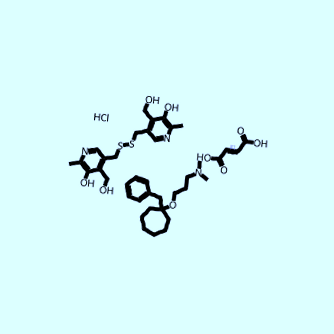 CN(C)CCCOC1(Cc2ccccc2)CCCCCC1.Cc1ncc(CSSCc2cnc(C)c(O)c2CO)c(CO)c1O.Cl.O=C(O)/C=C/C(=O)O